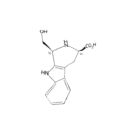 O=C(O)[C@H]1Cc2c([nH]c3ccccc23)[C@@H](CO)N1